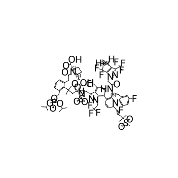 CC(C)OP(=O)(OCc1cccc(CC(=O)N2[C@H](C(=O)O)CC[C@H]2C(=O)O)c1C(C)(C)CC(=O)N(Cc1nn(CC(F)(F)F)c2c(-c3ccc(C#CC(C)(C)S(C)(=O)=O)nc3[C@H](Cc3cc(F)cc(F)c3)NC(=O)Cn3nc(C(F)(F)F)c4c3C(F)(F)[C@@H]3C[C@H]43)ccc(Cl)c12)[SH](=O)=O)OC(C)C